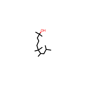 CC(C)CC(C)C(C)(C)CCCC(C)(C)O